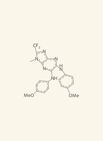 COc1ccc(Nc2nc3nc(C(F)(F)F)n(C)c3nc2Nc2ccc(OC)cc2)cc1